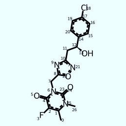 Cc1c(F)c(=O)n(Cc2nc(C[C@H](O)c3ccc(Cl)cc3)no2)c(=O)n1C